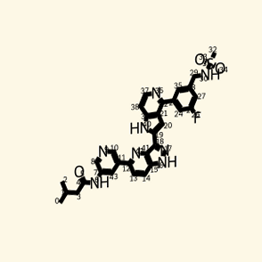 CC(C)CC(=O)Nc1cncc(-c2ccc3[nH]nc(-c4cc5c(-c6cc(F)cc(CNS(C)(=O)=O)c6)nccc5[nH]4)c3n2)c1